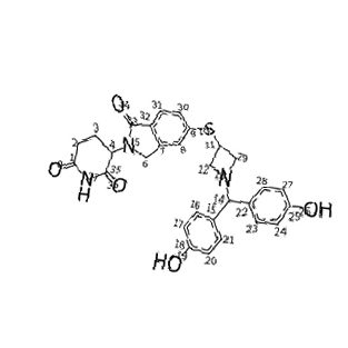 O=C1CCC(N2Cc3cc(SC4CN(C(c5ccc(O)cc5)c5ccc(O)cc5)C4)ccc3C2=O)C(=O)N1